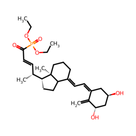 C=C1/C(=C\C=C2/CCC[C@@]3(C)C2CC[C@@H]3[C@H](C)/C=C/C(=O)P(=O)(OCC)OCC)C[C@@H](O)C[C@@H]1O